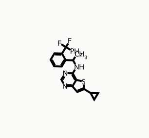 CC(Nc1ncnc2cc(C3CC3)sc12)c1ccccc1C(F)(F)P